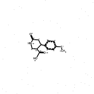 CSc1ccc(C2CC(=O)NCC2C(=O)O)cc1